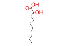 CCCCCCCC[C](O)C(=O)O